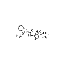 COc1ccccc1CNC(=O)Nc1nc(C(C)(C)C)cs1